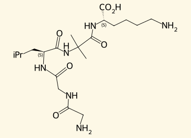 CC(C)C[C@H](NC(=O)CNC(=O)CN)C(=O)NC(C)(C)C(=O)N[C@@H](CCCCN)C(=O)O